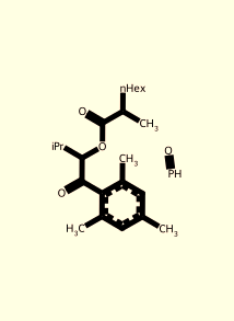 CCCCCCC(C)C(=O)OC(C(=O)c1c(C)cc(C)cc1C)C(C)C.O=P